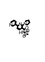 CS(=O)(=O)NC(=O)c1ccc(-c2cccnc2)nc1N1CCCC1